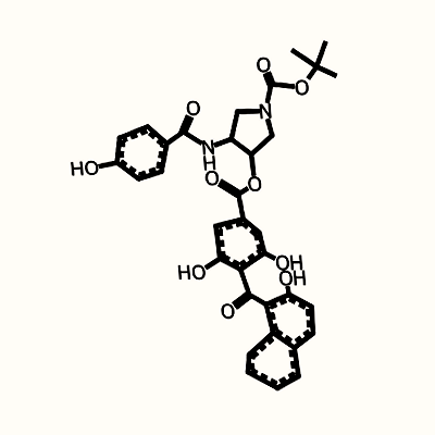 CC(C)(C)OC(=O)N1CC(NC(=O)c2ccc(O)cc2)C(OC(=O)c2cc(O)c(C(=O)c3c(O)ccc4ccccc34)c(O)c2)C1